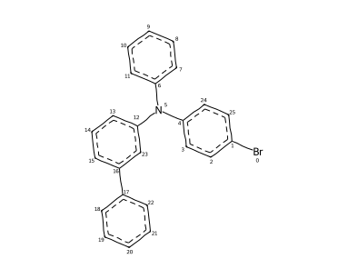 Brc1ccc(N(c2ccccc2)c2cccc(-c3ccccc3)c2)cc1